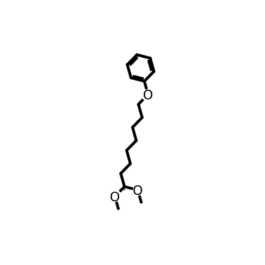 CO[C](CCCCCCCOc1ccccc1)OC